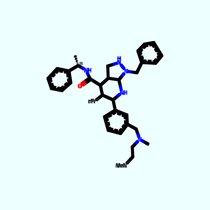 CCCC1C(c2cccc(CN(C)CCNC)c2)NC2C(CNN2Cc2ccccc2)C1C(=O)N[C@@H](C)c1ccccc1